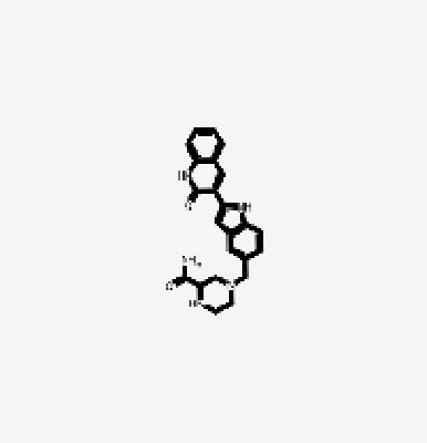 NC(=O)C1CN(Cc2ccc3[nH]c(-c4cc5ccccc5[nH]c4=O)cc3c2)CCN1